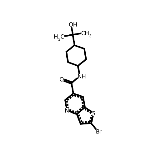 CC(C)(O)C1CCC(NC(=O)c2cnc3cc(Br)sc3c2)CC1